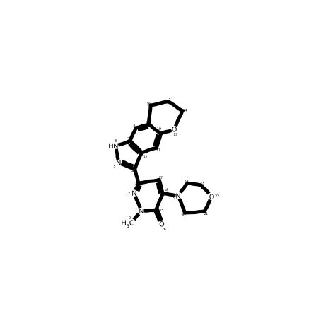 Cn1nc(-c2n[nH]c3cc4c(cc23)OCCC4)cc(N2CCOCC2)c1=O